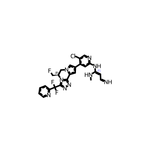 CN/C(=C\C=N)Nc1cc(-c2cc3n(c2)C[C@H](CF)n2c-3nnc2C(F)(F)c2ccccn2)c(Cl)cn1